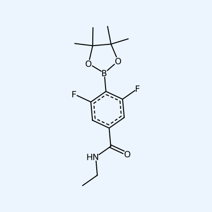 CCNC(=O)c1cc(F)c(B2OC(C)(C)C(C)(C)O2)c(F)c1